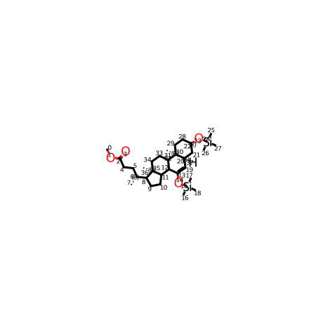 COC(=O)CC[C@@H](C)C1CCC2C3C(O[Si](C)(C)C)=C[C@@H]4C[C@H](O[Si](C)(C)C)CC[C@]4(C)C3CC[C@@]21C